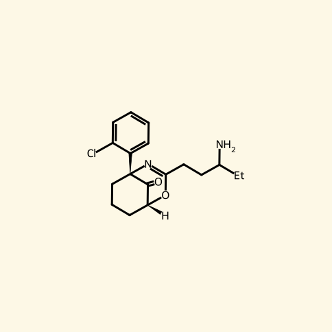 CCC(N)CCC1=N[C@@]2(c3ccccc3Cl)CCC[C@@H](O1)C2=O